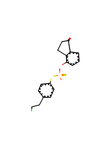 O=C1CCc2c(OP(O)(=S)Sc3ccc(CCCl)cc3)cccc21